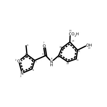 Cc1oncc1C(=O)Nc1ccc(O)c(C(=O)O)c1